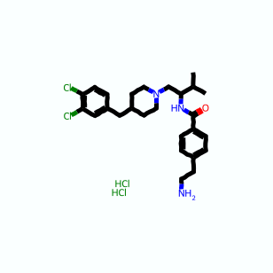 CC(C)C(CN1CCC(Cc2ccc(Cl)c(Cl)c2)CC1)NC(=O)c1ccc(CCN)cc1.Cl.Cl